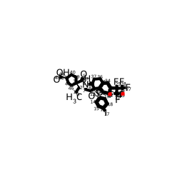 CCC[C@]1(C(=O)N2CC[C@@]3(S(=O)(=O)c4ccc(I)cc4)c4ccc(C(F)(C(F)(F)F)C(F)(F)F)cc4CC[C@@H]23)CC[C@H](C(=O)O)CC1